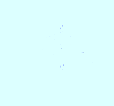 Cc1ccc2[nH]cc(C3CCCC3N)c2c1